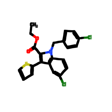 CCOC(=O)c1c(-c2cccs2)c2cc(Cl)ccc2n1Cc1ccc(Cl)cc1